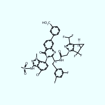 Cn1nc(NS(C)(=O)=O)c2c(Cl)ccc(-n3c([C@H](Cc4cc(F)cc(F)c4)NC(=O)Cn4nc(C(F)F)c5c4C(F)(F)C4C[C@H]54)nc4cc(-c5cccc(C(=O)O)c5)ccc4c3=O)c21